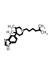 CC(C)CCCCN1CCC(C)(c2ccc3[nH]cnc3c2)C(C)C1